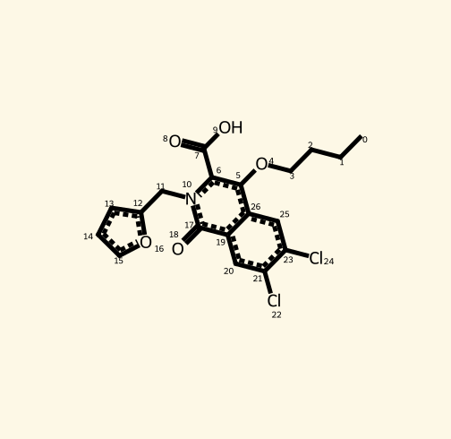 CCCCOc1c(C(=O)O)n(Cc2ccco2)c(=O)c2cc(Cl)c(Cl)cc12